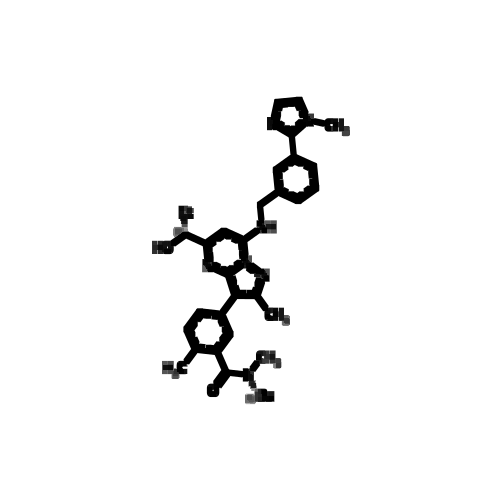 CC[C@@H](O)c1cc(NCc2cccc(-c3nccn3C)c2)n2nc(C)c(-c3ccc(C)c(C(=O)N(C)[C@@H](C)CC)c3)c2n1